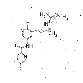 C/N=C(/N)ON[C@H](C)CCc1cc(NC(=O)c2ccc(Cl)cn2)cnc1F